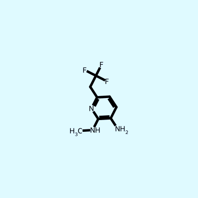 CNc1nc(CC(F)(F)F)ccc1N